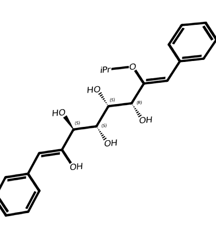 CC(C)OC(=Cc1ccccc1)[C@H](O)[C@@H](O)[C@H](O)[C@H](O)C(O)=Cc1ccccc1